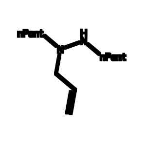 C=CCN(CCCCC)NCCCCC